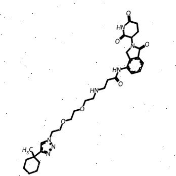 CC1(c2cn(CCOCCOCCNCCC(=O)Nc3cccc4c3CN(C3CCC(=O)NC3=O)C4=O)nn2)CCCCC1